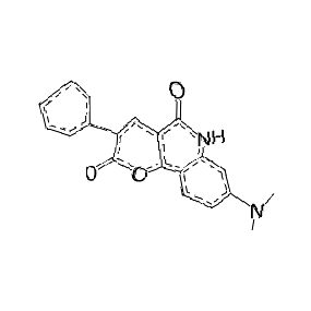 CN(C)c1ccc2c(c1)[nH]c(=O)c1cc(-c3ccccc3)c(=O)oc12